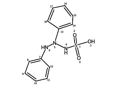 O=S(=O)(O)NN(Nc1ccccc1)c1ccccc1